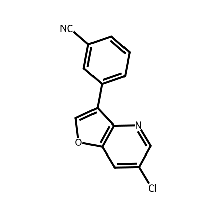 N#Cc1cccc(-c2coc3cc(Cl)cnc23)c1